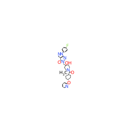 C[C@]1(C(=O)N2CCC(O)(Cn3cnc4c(cnn4-c4ccc(F)cc4)c3=O)CC2)CC[C@H](Oc2ccccn2)CC1